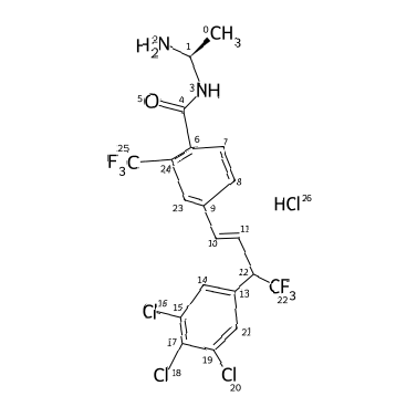 C[C@H](N)NC(=O)c1ccc(/C=C/C(c2cc(Cl)c(Cl)c(Cl)c2)C(F)(F)F)cc1C(F)(F)F.Cl